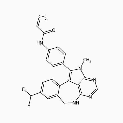 C=CC(=O)Nc1ccc(-c2c3c4c(ncnc4n2C)NCc2cc(C(F)F)ccc2-3)cc1